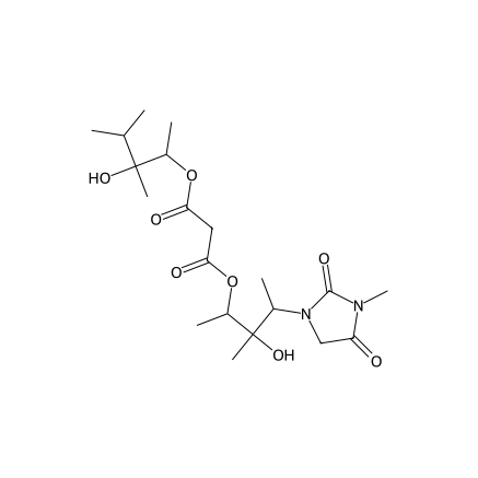 CC(C)C(C)(O)C(C)OC(=O)CC(=O)OC(C)C(C)(O)C(C)N1CC(=O)N(C)C1=O